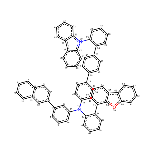 c1cc(-c2ccc3ccccc3c2)cc(N(c2ccc(-c3ccc(-c4ccccc4-n4c5ccccc5c5ccccc54)cc3)cc2)c2ccccc2-c2cccc3c2oc2ccccc23)c1